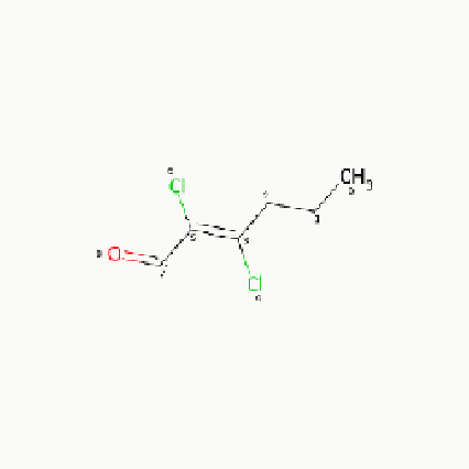 CCCC(Cl)=C(Cl)[C]=O